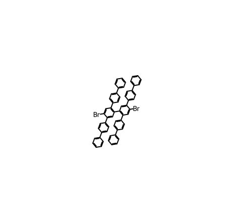 Brc1cc(-c2ccc(-c3ccccc3)cc2)c(-c2cc(-c3ccc(-c4ccccc4)cc3)c(Br)cc2-c2ccc(-c3ccccc3)cc2)cc1-c1ccc(-c2ccccc2)cc1